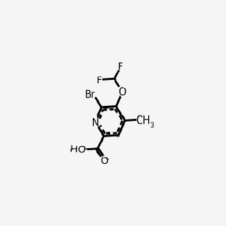 Cc1cc(C(=O)O)nc(Br)c1OC(F)F